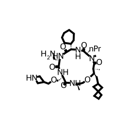 CCC[C@H]1C(=O)N[C@@H](C2CCCCCC2)C(=O)N[C@@H](CN)C(=O)N[C@@H](COCC2CNC2)C(=O)N[C@H](C)CO[C@H](CC2CC3(CCC3)C2)[C@@H](C)C(=O)N1C